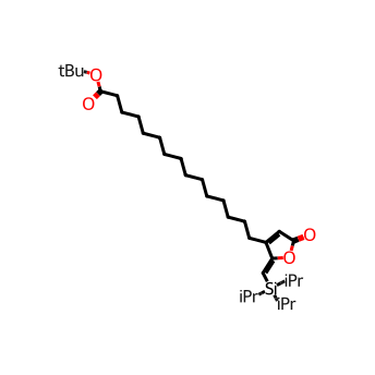 CC(C)[Si](/C=C1\OC(=O)C=C1CCCCCCCCCCCCCCC(=O)OC(C)(C)C)(C(C)C)C(C)C